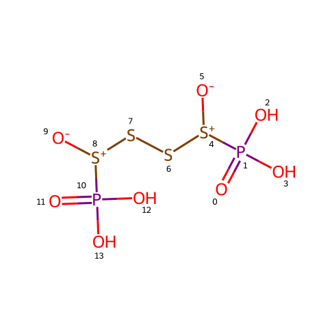 O=P(O)(O)[S+]([O-])SS[S+]([O-])P(=O)(O)O